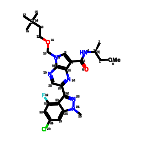 COC[C@H](C)NC(=O)c1cn(COCC[Si](C)(C)C)c2ncc(-c3nn(C)c4cc(Cl)cc(F)c34)nc12